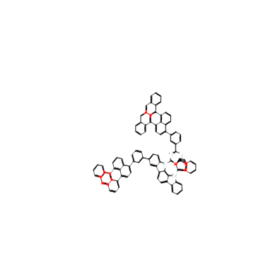 c1ccc(-c2nc(-c3cccc(-c4ccc(-c5cccc6ccccc56)c5c(-c6cccc7ccccc67)cccc45)c3)nc(-n3c4ccc(-c5cccc(-c6ccc(-c7cccc8ccccc78)c7c(-c8cccc9ccccc89)cccc67)c5)cc4c4ccc5c6ccccc6n(-c6ccccc6)c5c43)n2)cc1